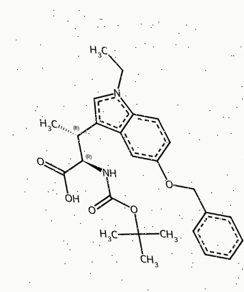 CCn1cc([C@@H](C)[C@@H](NC(=O)OC(C)(C)C)C(=O)O)c2cc(OCc3ccccc3)ccc21